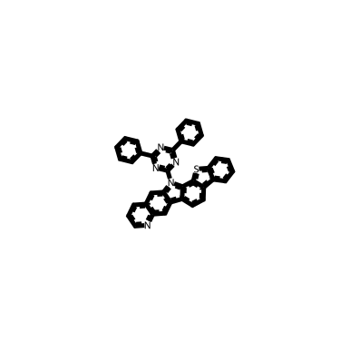 c1ccc(-c2nc(-c3ccccc3)nc(-n3c4cc5cccnc5cc4c4ccc5c6ccccc6sc5c43)n2)cc1